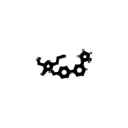 CC(C)CCc1nn(CC(C)C)c(=O)n1Cc1ccc(-c2cccc(-c3nnn[nH]3)c2)cc1